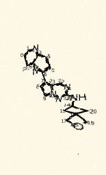 c1cnc2ccc(-c3ccn4nc(NC5CC6(COC6)C5)ncc34)nc2c1